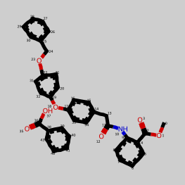 COC(=O)c1ccccc1NC(=O)Cc1ccc(Oc2ccc(OCc3ccccc3)cc2)cc1.O=C(O)c1ccccc1